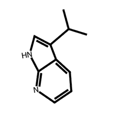 CC(C)c1c[nH]c2ncccc12